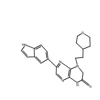 O=C1CN(CCC2CCOCC2)c2nc(-c3ccc4[nH]ccc4c3)cnc2N1